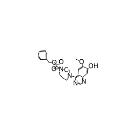 COc1cc2c(N3CCCN(S(=O)(=O)OCc4ccccc4)CC3)ncnc2cc1O